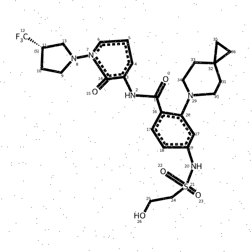 O=C(Nc1cccn(N2CC[C@H](C(F)(F)F)C2)c1=O)c1ccc(NS(=O)(=O)CCO)cc1N1CCC2(CC1)CC2